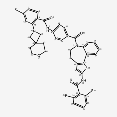 Cc1ccc(C(=O)Nc2ccc(C(=O)N3CCc4cc(NC(=O)c5c(F)cccc5F)sc4-c4ccccc43)cc2)c(N2CC3(CCOCC3)C2)n1